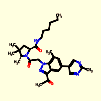 CCCCCCNC(=O)[C@@H]1CC(C)(C)[C@@H](C)N1C(=O)Cn1nc(C(C)=O)c2cc(-c3cnc(C)nc3)cc(C)c21